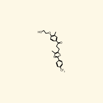 Cc1cc(C(=O)CCc2sc(-c3ccc(C(F)(F)F)cc3)nc2C)ccc1OCCO